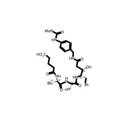 CCC[C@H](NC(=O)[C@@H](NC(=O)CCCC(=O)O)[C@@H](C)CC)C(=O)N[C@@H](CC(C)C)[C@@H](O)CC(=O)NCc1ccc(NC(=O)NC)cc1